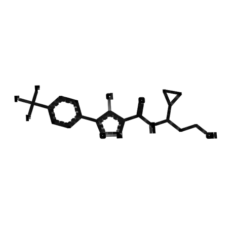 O=C(NC(CCO)C1CC1)c1noc(-c2ccc(C(F)(F)F)cc2)c1Cl